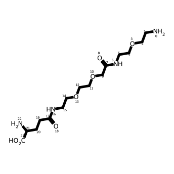 NCCOCCNC(=O)COCCOCCNC(=O)CCC(N)C(=O)O